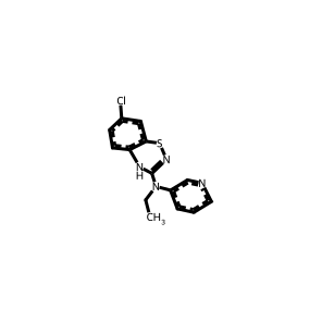 CCN(C1=NSc2cc(Cl)ccc2N1)c1cccnc1